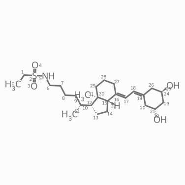 CCS(=O)(=O)NCCCC[C@@H](C)[C@H]1CC[C@H]2/C(=C/C=C3C[C@@H](O)C[C@H](O)C3)CCC[C@]12C